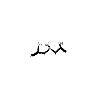 C=C(O)CN(O)CC(=C)O